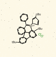 CCCCC1=C[CH]([Zr+2](=[C](c2ccccc2)c2ccccc2)[c]2c(C(C)(C)C)ccc3c2Cc2cc(C(C)(C)C)ccc2-3)C=C1.[Cl-].[Cl-]